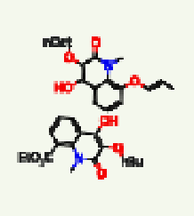 CC=COc1cccc2c(O)c(OCCCCCCCC)c(=O)n(C)c12.CCCCOc1c(O)c2cccc(C(=O)OCC)c2n(C)c1=O